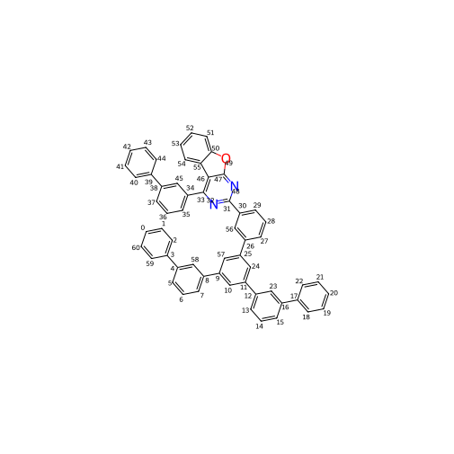 c1ccc(-c2cccc(-c3cc(-c4cccc(-c5ccccc5)c4)cc(-c4cccc(-c5nc(-c6cccc(-c7ccccc7)c6)c6c(n5)oc5ccccc56)c4)c3)c2)cc1